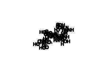 CCCC[C@H](NC(=O)[C@H](CCC(=O)O)NC(=O)[C@@H](N)CC(=O)O)C(=O)N[C@H](C(=O)NCC(=O)N[C@@H](Cc1ccc(OP(=O)(O)O)cc1)C(=O)N[C@H](C(=O)N[C@@H](C)C(=O)N[C@H](C(=O)N[C@@H](CCCNC(=N)N)C(=O)O)[C@@H](C)O)C(C)C)[C@@H](C)OP(=O)(O)O